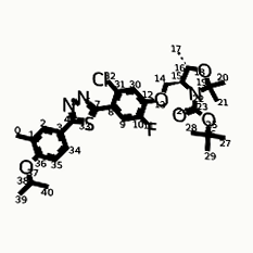 Cc1cc(-c2nnc(-c3cc(F)c(OC[C@H]4[C@H](C)OC(C)(C)N4C(=O)OC(C)(C)C)cc3Cl)s2)ccc1OC(C)C